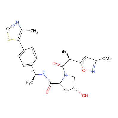 COc1cc([C@@H](C(=O)N2C[C@H](O)C[C@H]2C(=O)N[C@@H](C)c2ccc(-c3scnc3C)cc2)C(C)C)on1